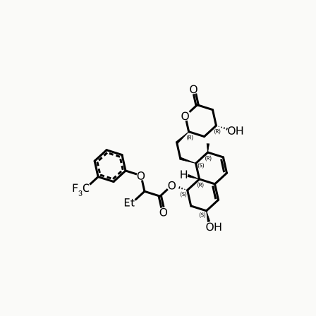 CCC(Oc1cccc(C(F)(F)F)c1)C(=O)O[C@H]1C[C@H](O)C=C2C=C[C@H](C)[C@H](CC[C@@H]3C[C@@H](O)CC(=O)O3)[C@H]21